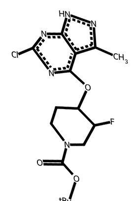 Cc1n[nH]c2nc(Cl)nc(OC3CCN(C(=O)OC(C)(C)C)CC3F)c12